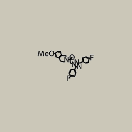 COc1ccc2c(c1)CCN(C(=O)Cn1nc(-c3ccc(F)cc3)nc1-c1ccc(F)cc1)C2